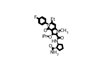 CCc1cc2c(c(=O)n1-c1ccc(F)cc1)C(OC(C)C)C(C(=O)N[C@H]1CCC[C@H]1C(N)=O)N2C